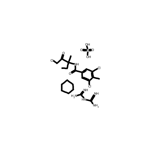 C1CCCCC1.CCC(C)(NC(=O)c1cc(Cl)c(C)c(Cl)c1)C(=O)CCl.N=C(N)NC(=N)N.O=S(=O)(O)O